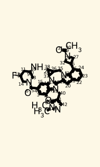 COc1cc(C(=O)N2C[C@H](N)C[C@@H](F)C2)cc2nc(-c3cc4cccc(C5CN(C(C)=O)C5)c4n3CC3CC3)n(Cc3cnn(C)c3)c12